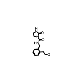 O=[C]Cc1ccccc1CNC(=O)N1CCNC1=O